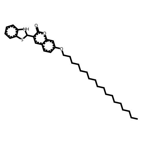 CCCCCCCCCCCCCCCCCCOc1ccc2cc(C3Nc4ccccc4S3)c(=O)oc2c1